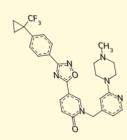 CN1CCN(c2cc(Cn3cc(-c4nc(-c5ccc(C6(C(F)(F)F)CC6)cc5)no4)ccc3=O)ccn2)CC1